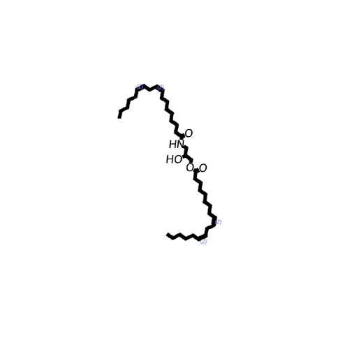 CCCCC/C=C\C/C=C\CCCCCCCC(=O)NCC(O)COC(=O)CCCCCCC/C=C\C/C=C\CCCCC